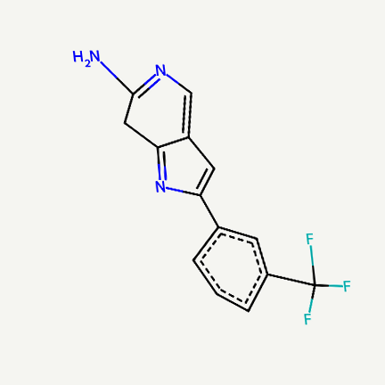 NC1=NC=C2C=C(c3cccc(C(F)(F)F)c3)N=C2C1